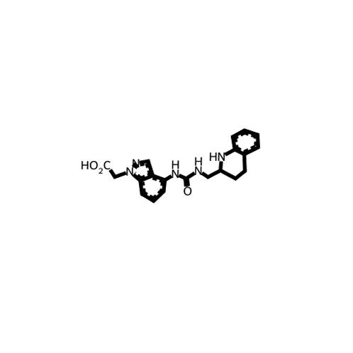 O=C(O)Cn1ncc2c(NC(=O)NCC3CCc4ccccc4N3)cccc21